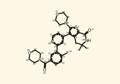 CC1(C)Cc2c(sc(N3CCOCC3)c2-c2ccnc(-c3cc(C(=O)N4CCOCC4)ccc3F)c2)C(=O)N1